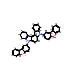 C1=Cc2c(n(-c3ccc4oc5ccccc5c4c3)c3ccc4c(c5ccccc5n4-c4ccc5oc6ccccc6c5c4)c23)CC1